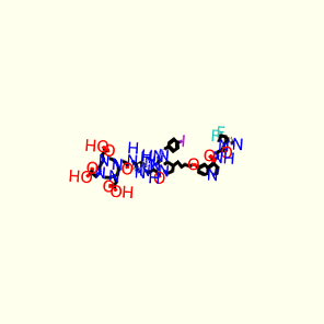 N#C[C@H]1CC(F)(F)CN1C(=O)CNC(=O)c1ccnc2ccc(OCCCCC3CCN(C(=O)CCN/N=C\[C@H](C/C=N/NCN/N=C/c4ccc(I)cc4)NC(=O)CN4CCN(CC(=O)O)CCN(CC(=O)O)CCN(CC(=O)O)CC4)CC3)cc12